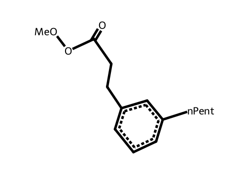 CCCCCc1cccc(CCC(=O)OOC)c1